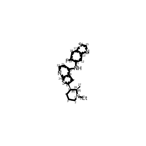 CCN1CCC[C@@H](c2cc3c(Nc4cc5ncsc5cc4F)ccnc3s2)[C@H]1C